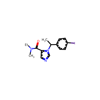 CCN(C)C(=O)c1cncn1C(C)c1ccc(I)cc1